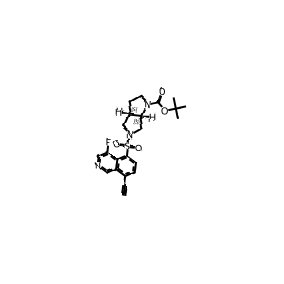 C#Cc1ccc(S(=O)(=O)N2C[C@@H]3CCN(C(=O)OC(C)(C)C)[C@@H]3C2)c2c(F)cncc12